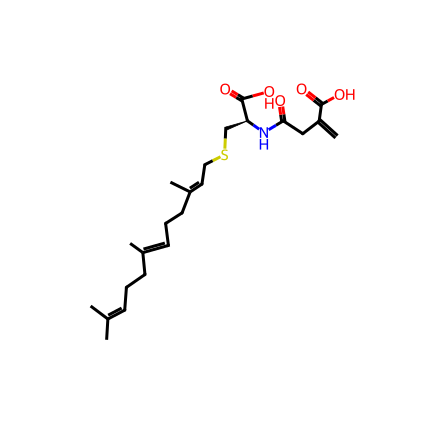 C=C(CC(=O)N[C@@H](CSC/C=C(\C)CC/C=C(\C)CCC=C(C)C)C(=O)O)C(=O)O